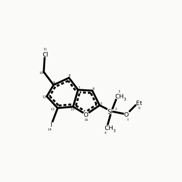 CCO[Si](C)(C)c1cc2cc(CCl)cc(I)c2o1